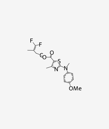 COc1ccc(N(C)c2nc(C)c(C(=O)OCCC(C)=C(F)F)s2)cc1